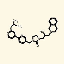 CC(C)Oc1cc(-c2ccc(CN3CCN(CC(O)CN4CCc5ccccc5C4)C3=O)cn2)ccn1